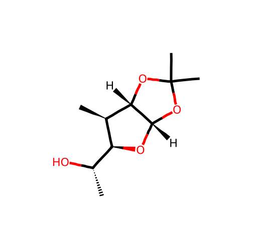 C[C@H]1[C@@H]2OC(C)(C)O[C@@H]2O[C@H]1[C@H](C)O